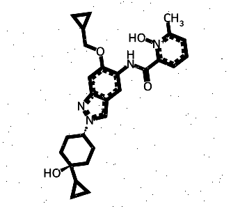 Cc1cccc(C(=O)Nc2cc3cn([C@H]4CC[C@@](O)(C5CC5)CC4)nc3cc2OCC2CC2)[n+]1O